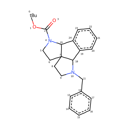 CC(C)(C)OC(=O)N1CCC23CCN(Cc4ccccc4)C2c2ccccc2C13